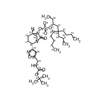 CCCCN(OS(=O)(=O)ON1C(=O)N2C[C@@H]1CC[C@H]2c1cc(CNC(=O)OC(C)(C)C)on1)C(CCC)(CCCC)CCCC